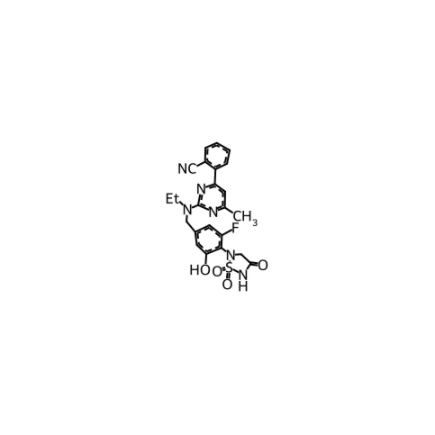 CCN(Cc1cc(O)c(N2CC(=O)NS2(=O)=O)c(F)c1)c1nc(C)cc(-c2ccccc2C#N)n1